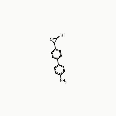 Nc1ccc(-c2ccc(C3OC3O)cc2)cc1